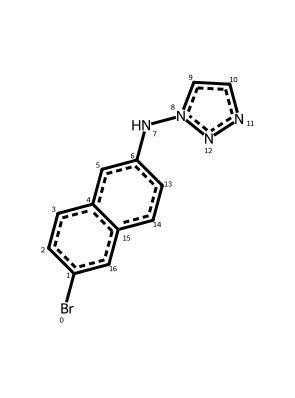 Brc1ccc2cc(Nn3ccnn3)ccc2c1